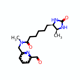 C[C@@H]1NC(=O)N[C@@H]1CCCCCC(=O)N(C)Cc1cccc(C=O)n1